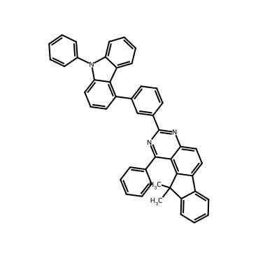 CC1(C)c2ccccc2-c2ccc3nc(-c4cccc(-c5cccc6c5c5ccccc5n6-c5ccccc5)c4)nc(-c4ccccc4)c3c21